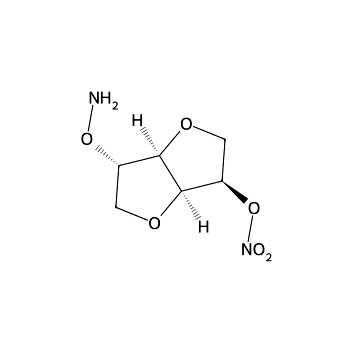 NO[C@H]1CO[C@H]2[C@@H]1OC[C@H]2O[N+](=O)[O-]